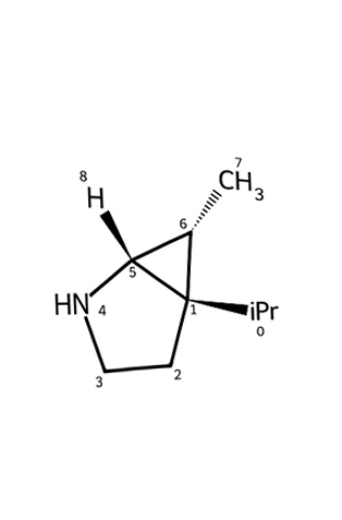 CC(C)[C@@]12CCN[C@@H]1[C@@H]2C